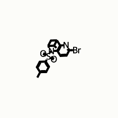 Cc1ccc(S(=O)(=O)N2c3ccc(Br)nc3C3CC2C3C)cc1